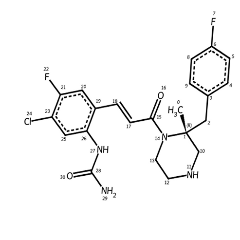 C[C@@]1(Cc2ccc(F)cc2)CNCCN1C(=O)C=Cc1cc(F)c(Cl)cc1NC(N)=O